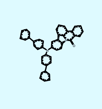 O=c1c2ccccc2c2cccc3c4cc(N(c5ccc(-c6ccccc6)cc5)c5ccc(-c6ccccc6)cc5)ccc4n1c23